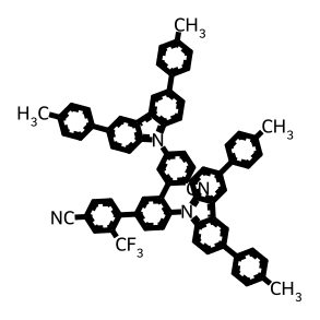 Cc1ccc(-c2ccc3c(c2)c2cc(-c4ccc(C)cc4)ccc2n3-c2ccc(C#N)c(-c3cc(-c4ccc(C#N)cc4C(F)(F)F)ccc3-n3c4ccc(-c5ccc(C)cc5)cc4c4cc(-c5ccc(C)cc5)ccc43)c2)cc1